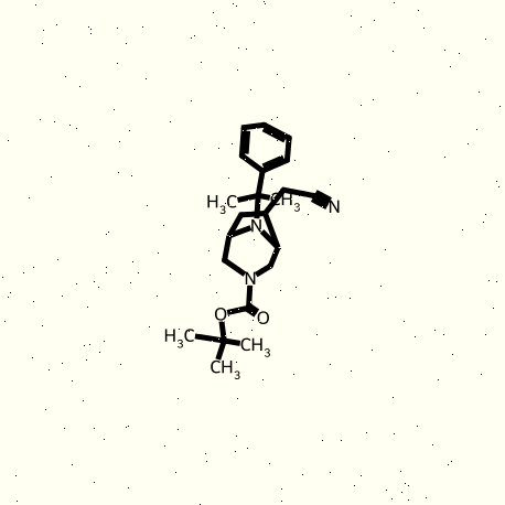 CC(C)(C)OC(=O)N1CC2CC(CC#N)C(C1)N2C(C)(C)c1ccccc1